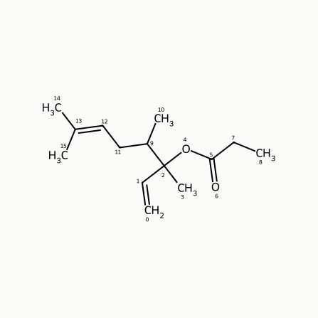 C=CC(C)(OC(=O)CC)C(C)CC=C(C)C